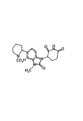 Cn1c(=O)n(C2CCC(=O)NC2=O)c2ccc(C3CCCCN3C(=O)O)cc21